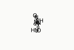 O=C(NC1CC1)c1ccc(-c2cnc3c(NCCN4CCOCC4)nc4ccccc4n23)cc1